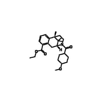 CCOC(=O)c1cccc2c1C[C@H]1N(C(=O)C3CCC(OC)CC3)CC[C@]2(C)C1(C)C